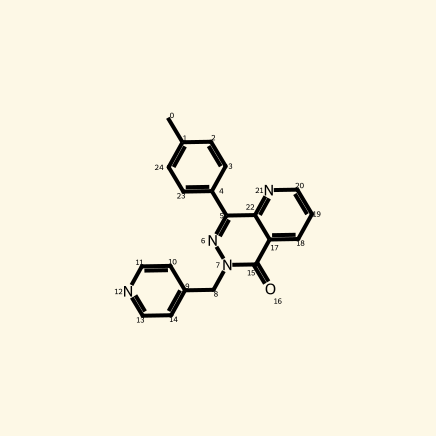 Cc1ccc(-c2nn(Cc3ccncc3)c(=O)c3cccnc23)cc1